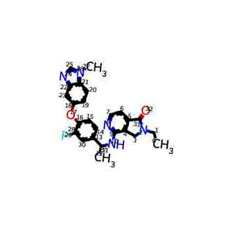 CCN1Cc2c(ccnc2N[C@@H](C)c2ccc(Oc3ccc4c(c3)ncn4C)c(F)c2)C1=O